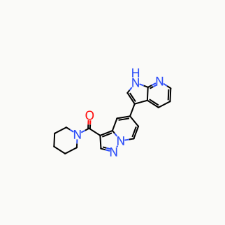 O=C(c1cnn2ccc(-c3c[nH]c4ncccc34)cc12)N1CCCCC1